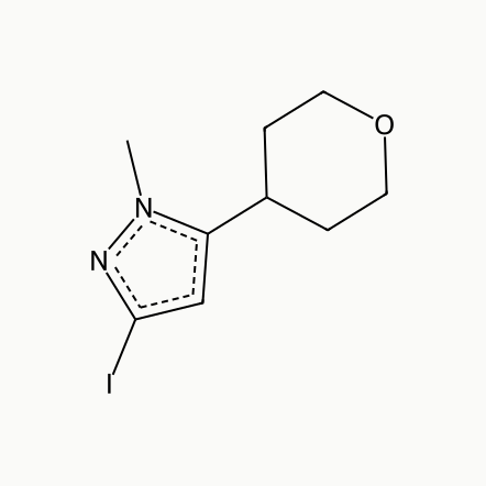 Cn1nc(I)cc1C1CCOCC1